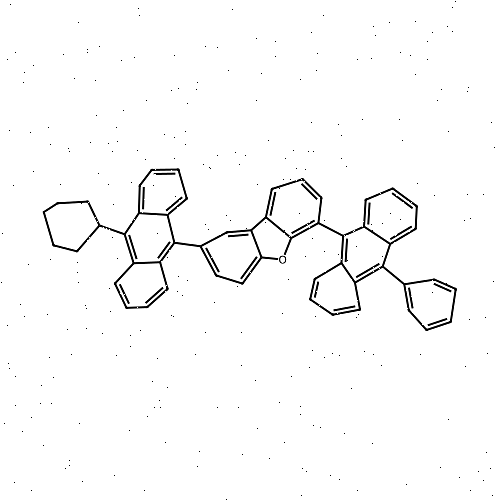 c1ccc(-c2c3ccccc3c(-c3cccc4c3oc3ccc(-c5c6ccccc6c(C6CCCCC6)c6ccccc56)cc34)c3ccccc23)cc1